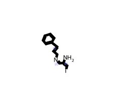 NC(/C=N\C/C=C/c1ccccc1)=C/I